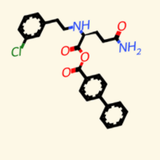 NC(=O)CC[C@H](NCCc1cccc(Cl)c1)C(=O)OC(=O)c1ccc(-c2ccccc2)cc1